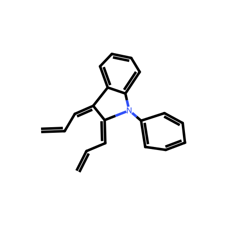 C=C/C=c1\c(=C/C=C)n(-c2ccccc2)c2ccccc12